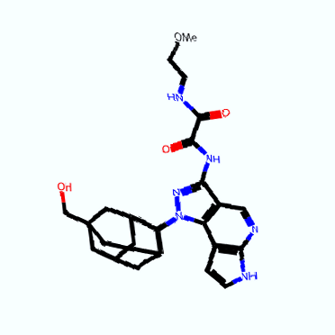 COCCNC(=O)C(=O)Nc1nn(C2C3CC4CC2CC(CO)(C4)C3)c2c1cnc1[nH]ccc12